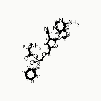 C[C@H](N)C(=O)OP(=O)(COCC1CC(C#N)C(n2cnc3c(N)ncnc32)O1)Oc1ccccc1